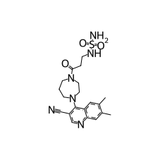 Cc1cc2ncc(C#N)c(N3CCCN(C(=O)CCNS(N)(=O)=O)CC3)c2cc1C